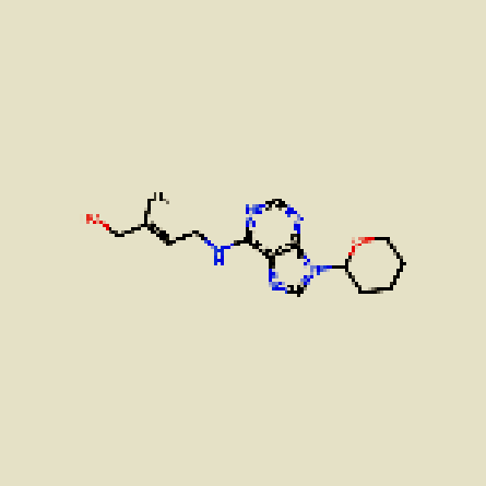 C/C(=C\CNc1ncnc2c1ncn2C1CCCCO1)CO